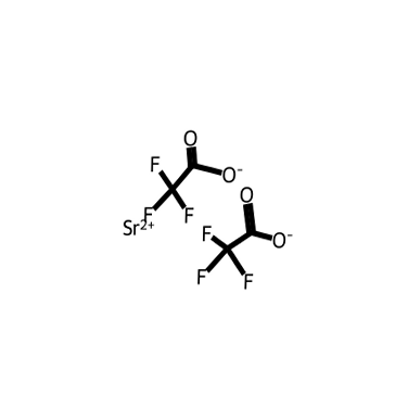 O=C([O-])C(F)(F)F.O=C([O-])C(F)(F)F.[Sr+2]